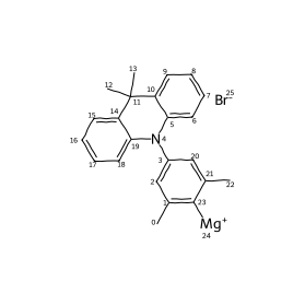 Cc1cc(N2c3ccccc3C(C)(C)c3ccccc32)cc(C)[c]1[Mg+].[Br-]